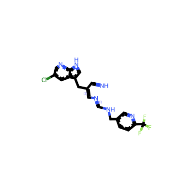 N=C/C(=C\N=C\NCc1ccc(C(F)(F)F)nc1)Cc1c[nH]c2ncc(Cl)cc12